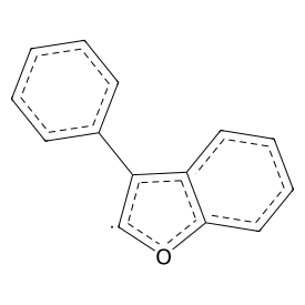 [c]1oc2ccccc2c1-c1ccccc1